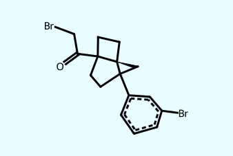 O=C(CBr)C12CCC3(c4cccc(Br)c4)C[C@]13CC2